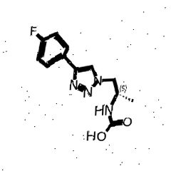 C[C@@H](Cn1cc(-c2ccc(F)cc2)nn1)NC(=O)O